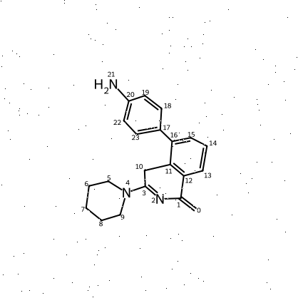 C=C1N=C(N2CCCCC2)Cc2c1cccc2-c1ccc(N)cc1